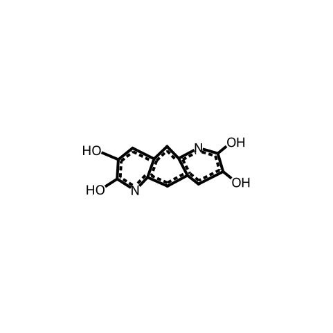 Oc1cc2cc3nc(O)c(O)cc3cc2nc1O